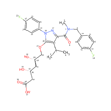 CC(C)c1c(C(=O)N(C)Cc2ccc(F)cc2)nn(-c2ccc(F)cc2)c1OC[C@@H](O)C[C@@H](O)CC(=O)O